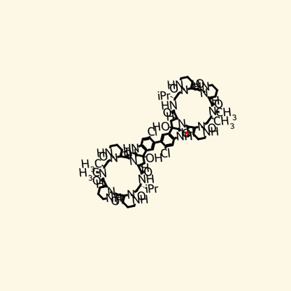 CC(C)[C@H]1NC(=O)[C@@H]2C[C@@]3(O)c4cc(-c5cc6c(cc5Cl)N[C@H]5N7C(=O)[C@@H]8CCCNN8C(=O)[C@H](C)N(C)C(=O)[C@H]8CCCNN8C(=O)[C@@H]8CCCNN8C(=O)[C@@H](C(C)C)NC(=O)[C@@H]7C[C@@]65O)c(Cl)cc4N[C@H]3N2C(=O)[C@@H]2CCCNN2C(=O)[C@H](C)N(C)C(=O)[C@H]2CCCNN2C(=O)[C@@H]2CCCNN2C1=O